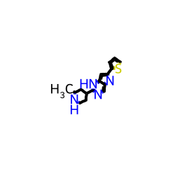 CC1CC(c2ncc3nc(-c4cccs4)cc-3[nH]2)CCN1